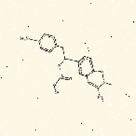 CC1Oc2ccc(C(Cc3ccc(N)cc3)NC(=O)OC(C)(C)C)cc2N=C1N